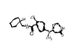 CN(c1ccc(Cl)c(C(=O)NCC2(O)CCCCC2)c1)c1cc(=O)[nH]cn1